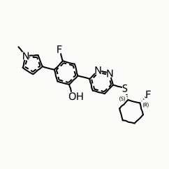 Cn1ccc(-c2cc(O)c(-c3ccc(S[C@H]4CCCC[C@H]4F)nn3)cc2F)c1